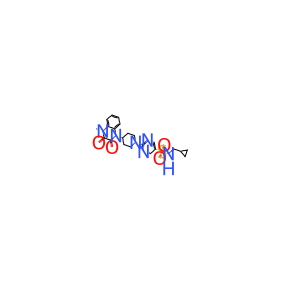 Cn1c(=O)c(=O)n(C2CCN(c3ncc(S(=O)(=O)NCC4CC4)cn3)CC2)c2ccccc21